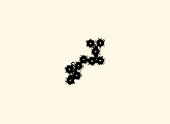 c1ccc(N(c2ccccc2)c2ccc(-n3c4ccccc4c4ccc(-c5cccc(-c6ccc7c(c6)Sc6ccccc6N7c6cccc7c6oc6ccccc67)c5)cc43)cc2)cc1